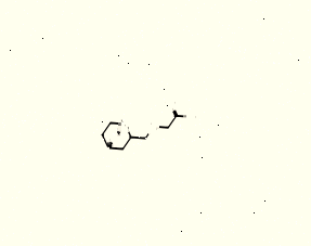 O=C(O)CSCC1CC2CCN1CC2